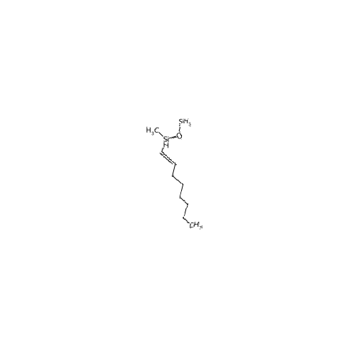 CCCCCCC=C[SiH](C)O[SiH3]